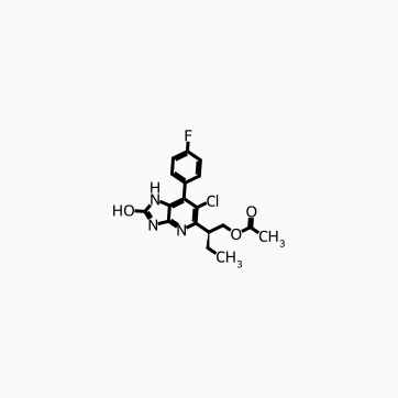 CC[C@H](COC(C)=O)c1nc2nc(O)[nH]c2c(-c2ccc(F)cc2)c1Cl